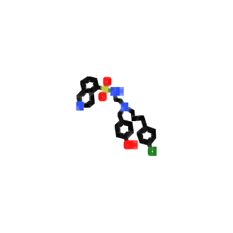 O=S(=O)(NCCN(CC=Cc1ccc(Cl)cc1)Cc1ccc(O)cc1)c1cccc2cnccc12